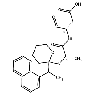 CC(c1cccc2ccccc12)C1(N[C@@H](C)C(=O)N[C@H](C=O)CC(=O)O)CCCCO1